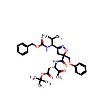 CC(=O)[C@H](CC(=O)OC(C)(C)C)NC(=O)C1(COc2ccccc2)CC([C@@H](NC(=O)OCc2ccccc2)C(C)C)=NO1